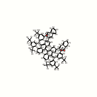 CC(C)(C)c1cc(N(c2cc(C(C)(C)C)cc(C(C)(C)C)c2)c2c3ccccc3c(-c3c4ccccc4c(N(c4cc(C(C)(C)C)cc(C(C)(C)C)c4)c4cc(C(C)(C)C)cc(C(C)(C)C)c4)c4cc(-c5ccc6ccccc6c5)ccc34)c3ccc(-c4ccc5ccccc5c4)cc23)cc(C(C)(C)C)c1